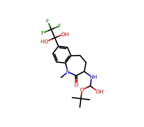 CN1C(=O)C(NC(O)OC(C)(C)C)CCc2cc(C(O)(O)C(F)(F)F)ccc21